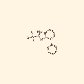 O=S(=O)(Cl)c1nc2c(-c3ccccc3)cccc2[nH]1